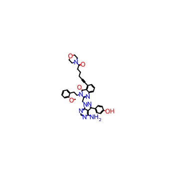 COc1ccccc1CCn1c(Cn2nc(-c3ccc(O)cc3)c3c(N)ncnc32)nc2cccc(C#CCCCC(=O)N3CCOCC3)c2c1=O